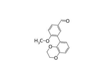 COc1ccc(C=O)cc1-c1cccc2c1OCCO2